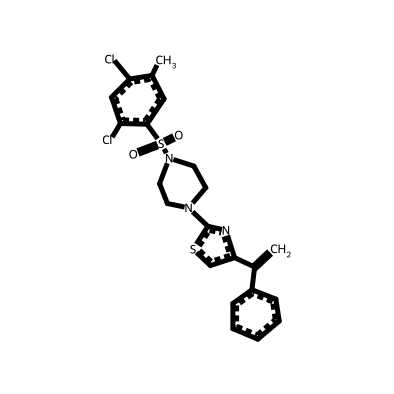 C=C(c1ccccc1)c1csc(N2CCN(S(=O)(=O)c3cc(C)c(Cl)cc3Cl)CC2)n1